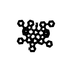 N#Cc1c(-n2c3ccccc3c3c(-c4ccccc4)cccc32)c(-n2c3ccccc3c3c(-c4ccccc4)cccc32)c(-c2ccc3c(c2)sc2ncccc23)c(-n2c3ccccc3c3c(-c4ccccc4)cccc32)c1-n1c2ccccc2c2c(-c3ccccc3)cccc21